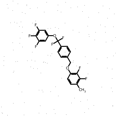 Cc1ccc(OCc2ccc(C(F)(F)Oc3cc(F)c(F)c(F)c3)cc2)c(F)c1F